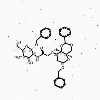 O=C(CO[C@@H]1[CH][C@@H](OCc2ccccc2)O[C@@H]2COC(c3ccccc3)O[C@@H]12)N[C@@H]1[C@@H](OCc2ccccc2)O[C@H](CO)[C@@H](O)[C@@H]1O